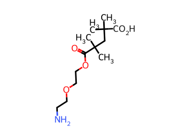 CC(C)(CC(C)(C)C(=O)OCCOCCN)C(=O)O